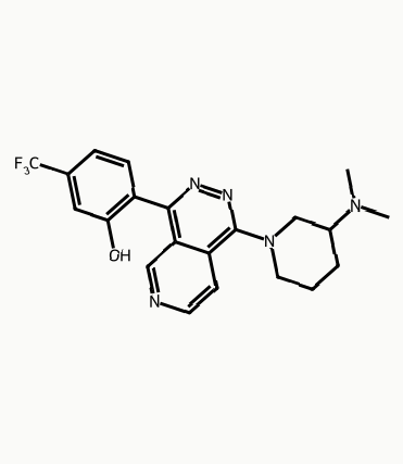 CN(C)C1CCCN(c2nnc(-c3ccc(C(F)(F)F)cc3O)c3cnccc23)C1